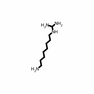 NCCCCCCCCNC(N)N